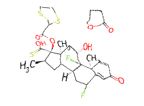 C[C@@H]1CC2[C@@H]3C[C@H](F)C4=CC(=O)C=C[C@]4(C)[C@@]3(F)[C@@H](O)C[C@]2(C)[C@@]1(OC(=O)C1SCCS1)C(O)=S.O=C1CCCO1